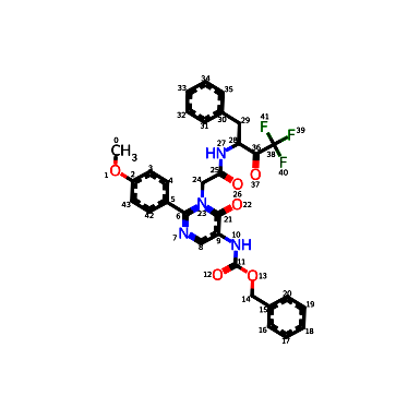 COc1ccc(-c2ncc(NC(=O)OCc3ccccc3)c(=O)n2CC(=O)NC(Cc2ccccc2)C(=O)C(F)(F)F)cc1